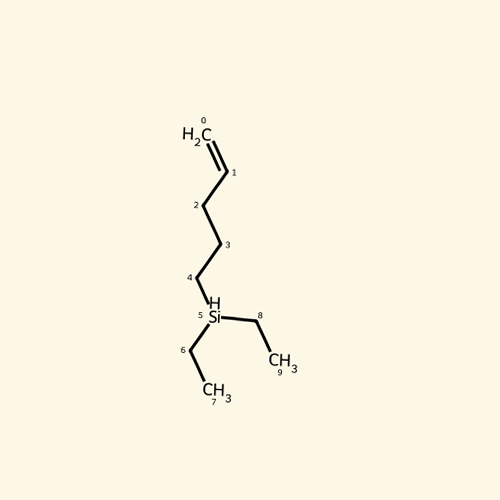 C=CCCC[SiH](CC)CC